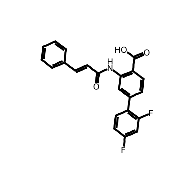 O=C(/C=C/c1ccccc1)Nc1cc(-c2ccc(F)cc2F)ccc1C(=O)O